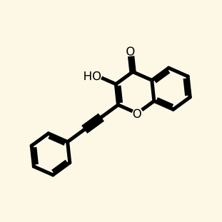 O=c1c(O)c(C#Cc2ccccc2)oc2ccccc12